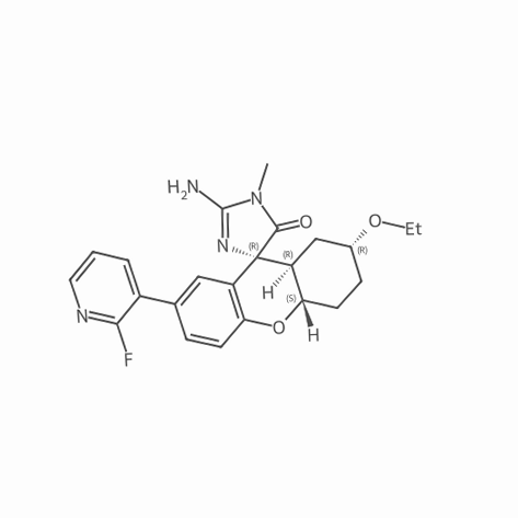 CCO[C@@H]1CC[C@@H]2Oc3ccc(-c4cccnc4F)cc3[C@]3(N=C(N)N(C)C3=O)[C@H]2C1